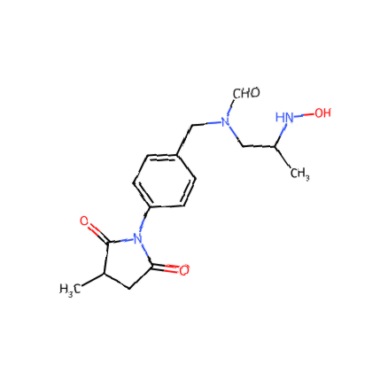 CC(CN(C=O)Cc1ccc(N2C(=O)CC(C)C2=O)cc1)NO